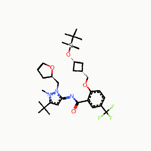 Cn1c(C(C)(C)C)cc(=NC(=O)c2cc(C(F)(F)F)ccc2OC[C@H]2C[C@@H](O[Si](C)(C)C(C)(C)C)C2)n1C[C@H]1CCCO1